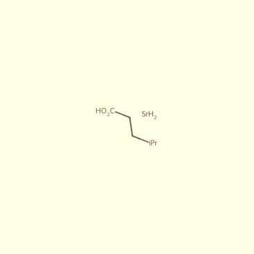 CC(C)CCC(=O)O.[SrH2]